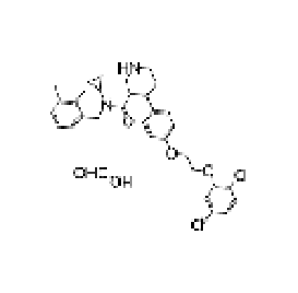 Cc1cccc(CN(C(=O)C2=C(c3ccc(OCCOc4cc(Cl)ccc4Cl)cc3)CCNC2)C2CC2)c1C.O=CO